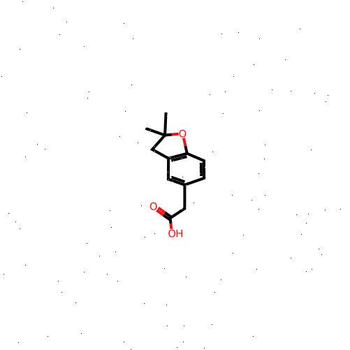 CC1(C)Cc2cc(CC(=O)O)ccc2O1